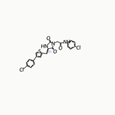 O=C(CN1C(=O)N/C(=C\c2cc(-c3ccc(Cl)cc3)cs2)C1=O)Nc1ccc(Cl)cc1